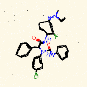 CCN(C)N=C1C=C(F)C(NC(=O)C(c2ccccc2)N(C(=O)Nc2ccccc2)c2ccc(Cl)cc2)=CC1